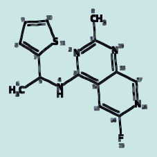 Cc1nc(NC(C)c2cccs2)c2cc(F)ncc2n1